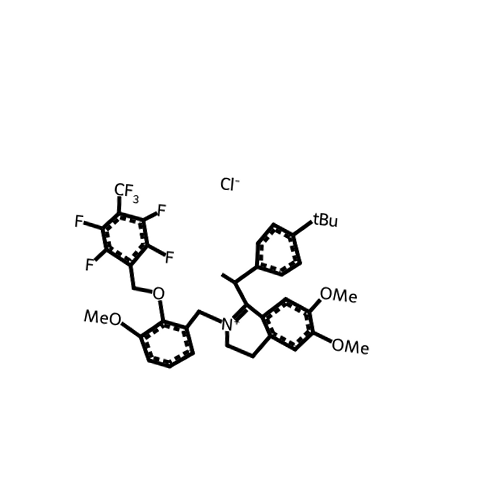 COc1cc2c(cc1OC)C(C(C)c1ccc(C(C)(C)C)cc1)=[N+](Cc1cccc(OC)c1OCc1c(F)c(F)c(C(F)(F)F)c(F)c1F)CC2.[Cl-]